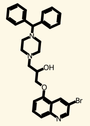 OC(COc1cccc2ncc(Br)cc12)CN1CCN(C(c2ccccc2)c2ccccc2)CC1